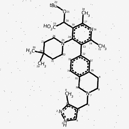 Cc1n[nH]cc1CN1CCc2cc(-c3c(C)nc(C)c(C(OC(C)(C)C)C(=O)O)c3N3CCC(C)(C)CC3)ccc2C1